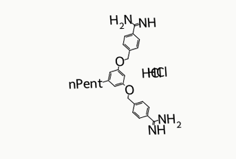 CCCCCc1cc(OCc2ccc(C(=N)N)cc2)cc(OCc2ccc(C(=N)N)cc2)c1.Cl.Cl